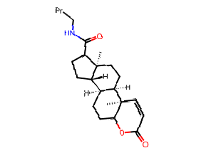 CC(C)CNC(=O)C1CC[C@H]2[C@@H]3CCC4OC(=O)C=C[C@]4(C)[C@@H]3CC[C@]12C